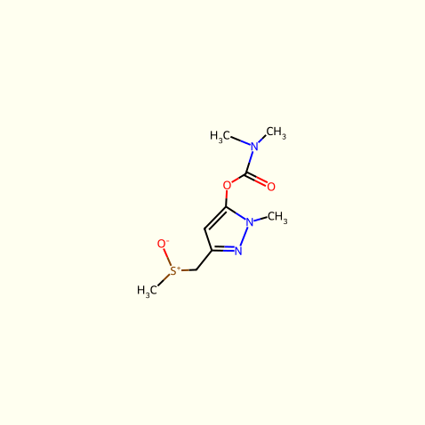 CN(C)C(=O)Oc1cc(C[S+](C)[O-])nn1C